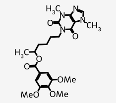 COc1cc(C(=O)OC(C)CCCCn2c(=O)c3c(ncn3C)n(C)c2=O)cc(OC)c1OC